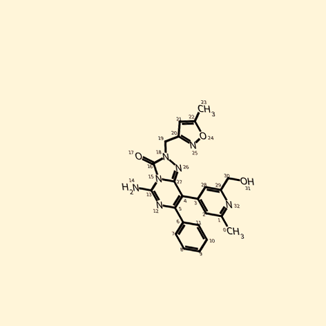 Cc1cc(-c2c(-c3ccccc3)nc(N)n3c(=O)n(Cc4cc(C)on4)nc23)cc(CO)n1